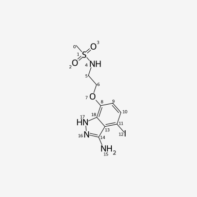 CS(=O)(=O)NCCOc1ccc(I)c2c(N)n[nH]c12